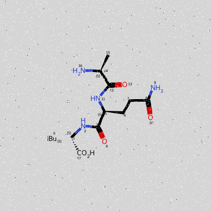 CC[C@H](C)[C@H](NC(=O)[C@H](CCC(N)=O)NC(=O)[C@H](C)N)C(=O)O